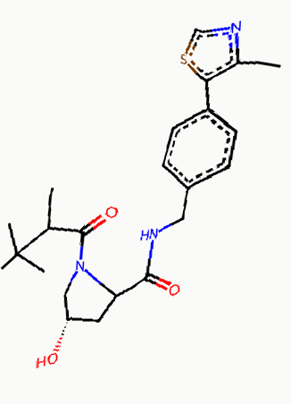 Cc1ncsc1-c1ccc(CNC(=O)C2C[C@H](O)CN2C(=O)C(C)C(C)(C)C)cc1